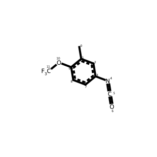 Cc1cc(N=C=O)ccc1OC(F)(F)F